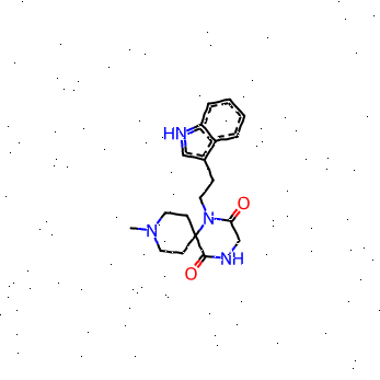 CN1CCC2(CC1)C(=O)NCC(=O)N2CCc1c[nH]c2ccccc12